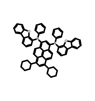 c1ccc(N(c2cc(N(c3ccccc3)c3cccc4c3oc3ccccc34)c3ccc4c(C5CCCCC5)cc(C5CCCCC5)c5ccc2c3c54)c2cccc3c2oc2ccccc23)cc1